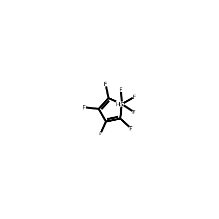 FC1=C(F)[SH](F)(F)(F)C(F)=C1F